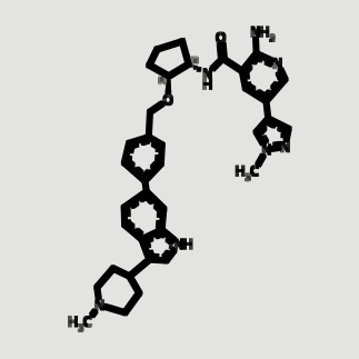 CN1CCC(c2c[nH]c3cc(-c4ccc(CO[C@H]5CCC[C@@H]5NC(=O)c5cc(-c6cnn(C)c6)cnc5N)cc4)ccc23)CC1